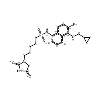 O=C1CN(CCCCCS(=O)(=O)Nc2ncnc3c(OCC4CC4)c(F)ccc23)C(=O)N1